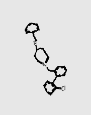 Clc1ccccc1-c1ccccc1CN1CCC(N=Cc2ccccc2)CC1